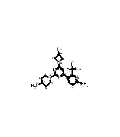 Nc1ccc(-c2cc(N3CC(F)C3)nc(N3CCC(N)CC3)n2)c(C(F)(F)F)n1